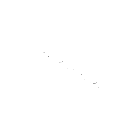 CN/N=N/N=N/N=N/N=N/N=N/N=N/N=N